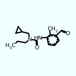 CCCN(CC1CC1)C(=O)Nc1cccc(C=O)c1C